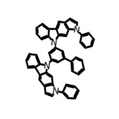 c1ccc(-c2cc(-n3c4ccccc4c4cc5ccn(-c6ccccc6)c5cc43)cc(-n3c4ccccc4c4cc5ccn(-c6ccccc6)c5cc43)c2)cc1